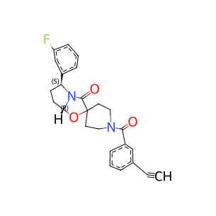 C#Cc1cccc(C(=O)N2CCC3(CC2)O[C@@H]2CC[C@@H](c4cccc(F)c4)N2C3=O)c1